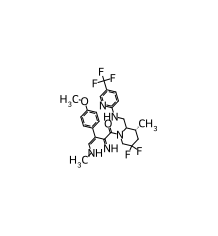 CN/C=C(\C(=N)C(=O)N1CC(F)(F)C[C@@H](C)C1CNc1ccc(C(F)(F)F)cn1)c1ccc(OC)cc1